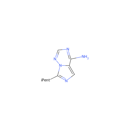 CCCC(C)c1ncc2c(N)ncnn12